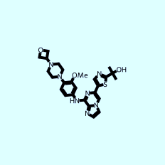 COc1cc(Nc2nc(-c3cnc(C(C)(C)O)s3)cn3ccnc23)ccc1N1CCN(C2COC2)CC1